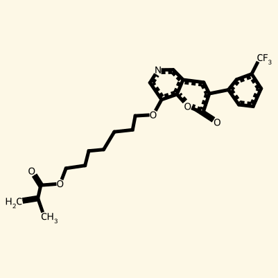 C=C(C)C(=O)OCCCCCCCOc1cncc2cc(-c3cccc(C(F)(F)F)c3)c(=O)oc12